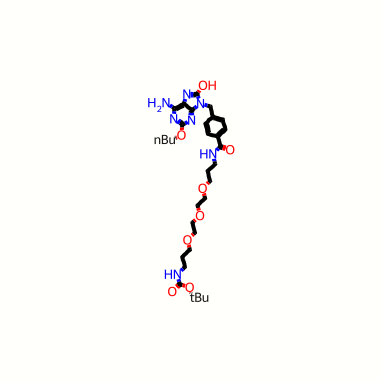 CCCCOc1nc(N)c2nc(O)n(Cc3ccc(C(=O)NCCCOCCOCCOCCCNC(=O)OC(C)(C)C)cc3)c2n1